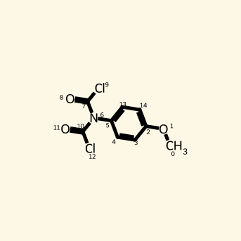 COc1ccc(N(C(=O)Cl)C(=O)Cl)cc1